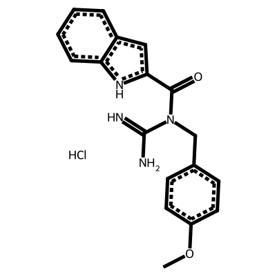 COc1ccc(CN(C(=N)N)C(=O)c2cc3ccccc3[nH]2)cc1.Cl